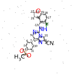 CS(=O)(=O)c1ccc(-c2cnc(NCc3c(F)ccc4c3CCO4)n3cc(C#N)nc23)cc1